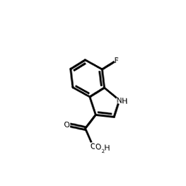 O=C(O)C(=O)c1c[nH]c2c(F)cccc12